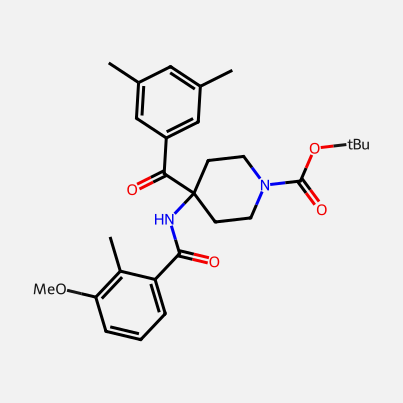 COc1cccc(C(=O)NC2(C(=O)c3cc(C)cc(C)c3)CCN(C(=O)OC(C)(C)C)CC2)c1C